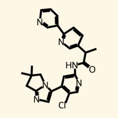 CC(C(=O)Nc1cc(-c2cnc3n2CC(C)(C)C3)c(Cl)cn1)c1ccc(-c2cccnc2)nc1